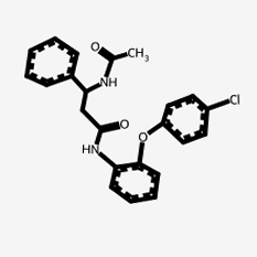 CC(=O)NC(CC(=O)Nc1ccccc1Oc1ccc(Cl)cc1)c1ccccc1